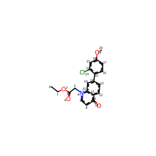 CCOC(=O)Cn1ccc(=O)c2ccc(-c3ccc(OC)cc3Cl)cc21